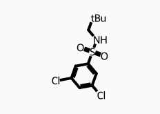 CC(C)(C)CNS(=O)(=O)c1cc(Cl)cc(Cl)c1